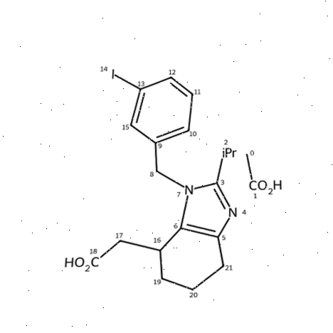 CC(=O)O.CC(C)c1nc2c(n1Cc1cccc(I)c1)C(CC(=O)O)CCC2